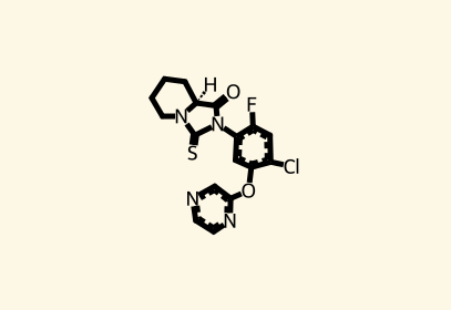 O=C1[C@@H]2CCCCN2C(=S)N1c1cc(Oc2cnccn2)c(Cl)cc1F